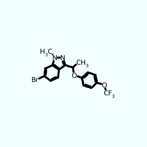 CC(Oc1ccc(OC(F)(F)F)cc1)c1nn(C)c2cc(Br)ccc12